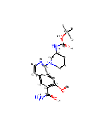 COc1cc2c(N3CCC[C@H](NC(=O)OC(C)(C)C)C3)nccc2cc1C(N)=O